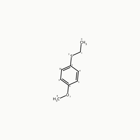 CCSc1ccc(OC)cc1